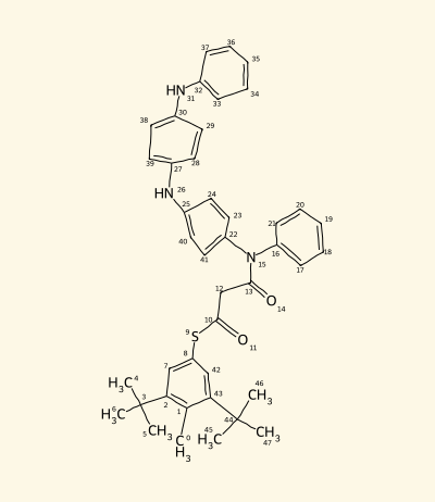 Cc1c(C(C)(C)C)cc(SC(=O)CC(=O)N(c2ccccc2)c2ccc(Nc3ccc(Nc4ccccc4)cc3)cc2)cc1C(C)(C)C